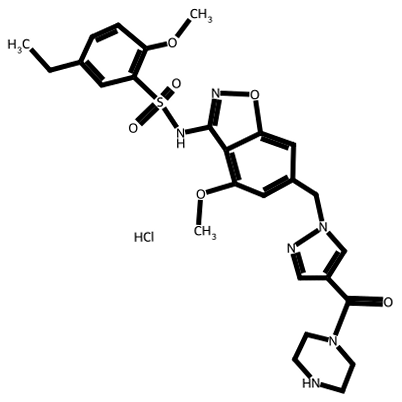 CCc1ccc(OC)c(S(=O)(=O)Nc2noc3cc(Cn4cc(C(=O)N5CCNCC5)cn4)cc(OC)c23)c1.Cl